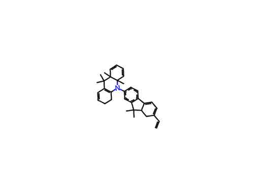 C=CC1=CC=C2c3ccc(N4C5=C(C=CCC5)C(C)(C)C5(C)C=CC=CC45C)cc3C(C)(C)C2C1